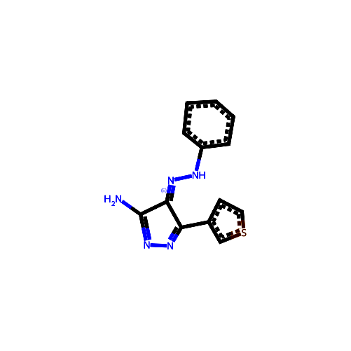 NC1=NN=C(c2ccsc2)/C1=N\Nc1ccccc1